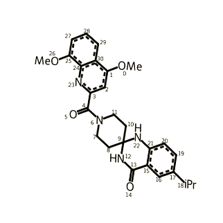 COc1cc(C(=O)N2CCC3(CC2)NC(=O)c2cc(C(C)C)ccc2N3)nc2c(OC)cccc12